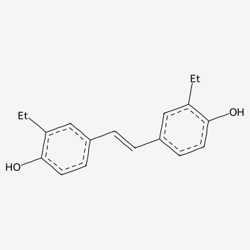 CCc1cc(C=Cc2ccc(O)c(CC)c2)ccc1O